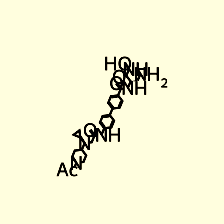 CC(=O)N1CCC(N(CC(=O)Nc2ccc(-c3ccc(C(=O)N[C@@H](CN)C(=O)NO)cc3)cc2)C2CC2)CC1